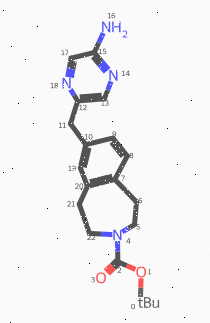 CC(C)(C)OC(=O)N1CCc2ccc(Cc3cnc(N)cn3)cc2CC1